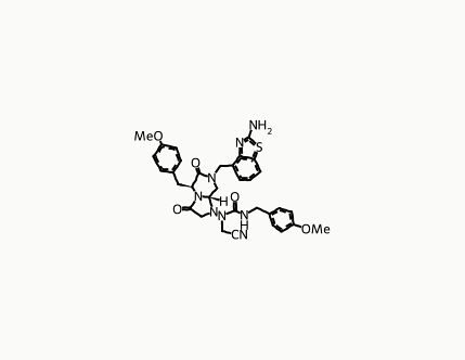 COc1ccc(CNC(=O)N(CC#N)N2CC(=O)N3[C@@H](Cc4ccc(OC)cc4)C(=O)N(Cc4cccc5sc(N)nc45)C[C@@H]32)cc1